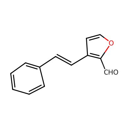 O=Cc1occc1C=Cc1ccccc1